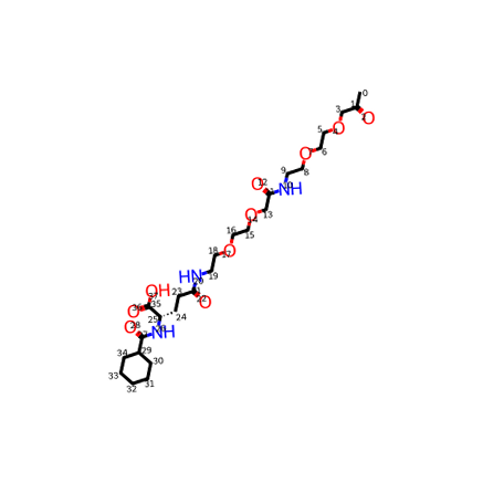 CC(=O)COCCOCCNC(=O)COCCOCCNC(=O)CC[C@H](NC(=O)C1CCCCC1)C(=O)O